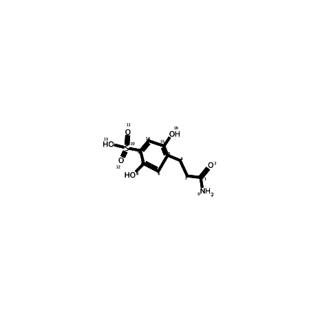 NC(=O)CCc1cc(O)c(S(=O)(=O)O)cc1O